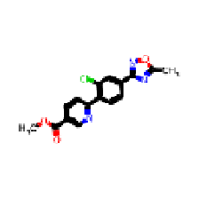 COC(=O)c1ccc(-c2ccc(-c3noc(C)n3)cc2Cl)nc1